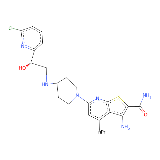 CCCc1cc(N2CCC(NC[C@@H](O)c3cccc(Cl)n3)CC2)nc2sc(C(N)=O)c(N)c12